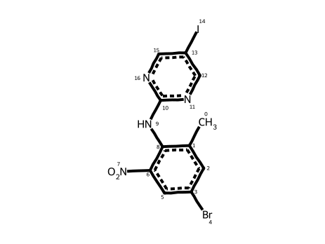 Cc1cc(Br)cc([N+](=O)[O-])c1Nc1ncc(I)cn1